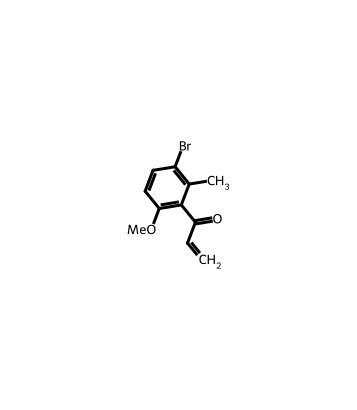 C=CC(=O)c1c(OC)ccc(Br)c1C